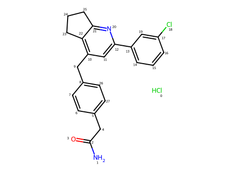 Cl.NC(=O)Cc1ccc(Cc2cc(-c3cccc(Cl)c3)nc3c2CCC3)cc1